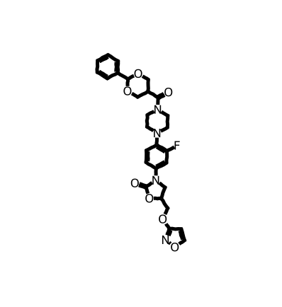 O=C(C1COC(c2ccccc2)OC1)N1CCN(c2ccc(N3CC(COc4ccon4)OC3=O)cc2F)CC1